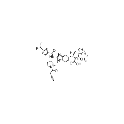 C[C@H](N(Cc1ccc2c(c1)nc(NC(=O)c1ccc(C(F)F)s1)n2C[C@H]1CCCN1C(=O)CC#N)C(=O)O)C(C)(C)C